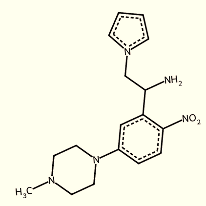 CN1CCN(c2ccc([N+](=O)[O-])c(C(N)Cn3cccc3)c2)CC1